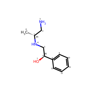 C[C@H](CN)NC[C@H](O)c1ccccc1